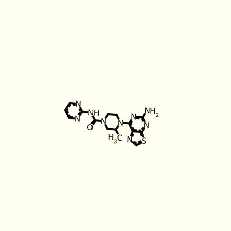 CC1CN(C(=O)Nc2ncccn2)CCN1c1nc(N)nc2scnc12